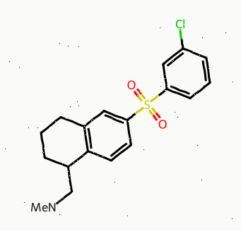 CNCC1CCCc2cc(S(=O)(=O)c3cccc(Cl)c3)ccc21